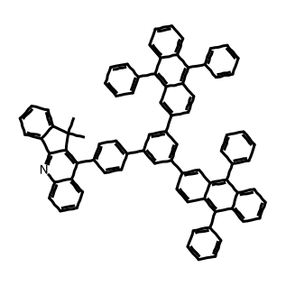 CC1(C)c2ccccc2-c2nc3ccccc3c(-c3ccc(-c4cc(-c5ccc6c(-c7ccccc7)c7ccccc7c(-c7ccccc7)c6c5)cc(-c5ccc6c(-c7ccccc7)c7ccccc7c(-c7ccccc7)c6c5)c4)cc3)c21